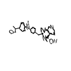 COCC(C)c1ccc(N(C)c2ccc(Cc3nc(O)c4ccncc4n3)cc2)cc1